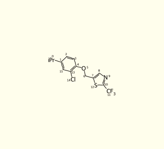 CC(C)c1ccc(OCc2cnc(C(F)(F)F)s2)c(Cl)c1